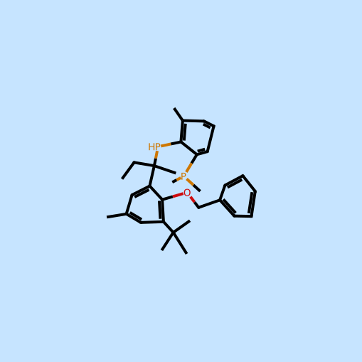 CCC(C)(Pc1c(C)cccc1P(C)C)c1cc(C)cc(C(C)(C)C)c1OCc1ccccc1